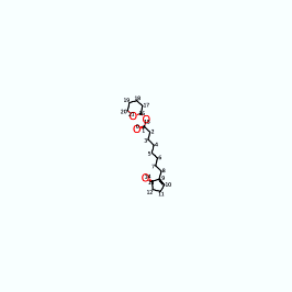 O=C(CCCCCCCC1=CCCC1=O)OC1CCCCO1